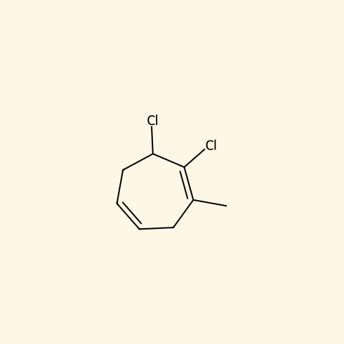 CC1=C(Cl)C(Cl)CC=CC1